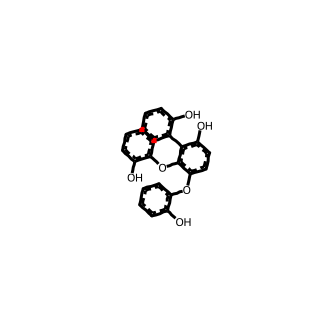 Oc1ccccc1Oc1ccc(O)c(-c2ccccc2O)c1Oc1ccccc1O